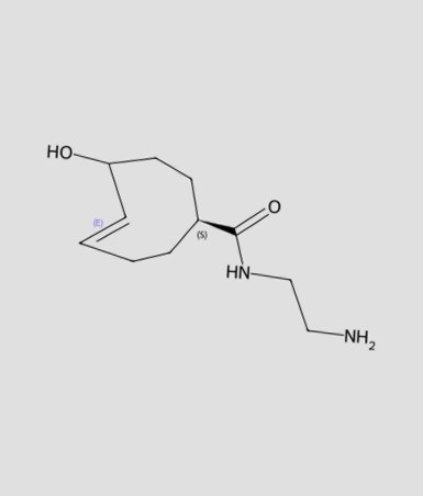 NCCNC(=O)[C@H]1CC/C=C/C(O)CC1